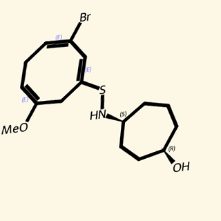 CO/C1=C/C/C=C(Br)\C=C(\SN[C@H]2CCC[C@@H](O)CC2)C1